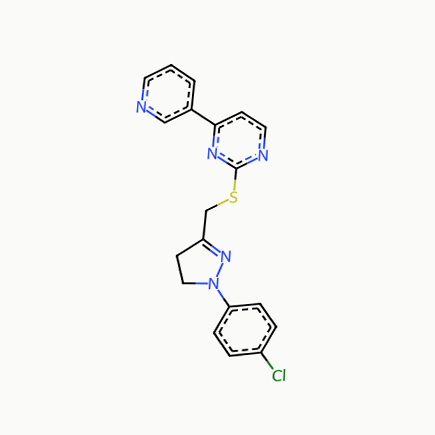 Clc1ccc(N2CCC(CSc3nccc(-c4cccnc4)n3)=N2)cc1